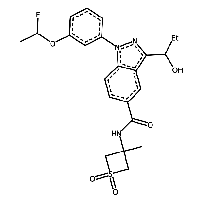 CCC(O)c1nn(-c2cccc(OC(C)F)c2)c2ccc(C(=O)NC3(C)CS(=O)(=O)C3)cc12